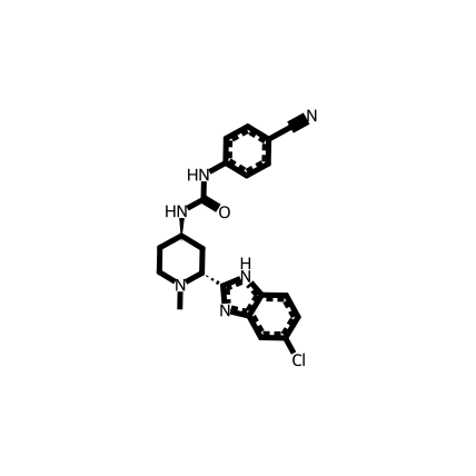 CN1CC[C@@H](NC(=O)Nc2ccc(C#N)cc2)C[C@@H]1c1nc2cc(Cl)ccc2[nH]1